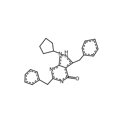 O=c1nc(Cc2ccccc2)nc2n(C3CCCC3)[nH]c(Cc3ccccc3)c1-2